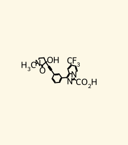 CN1CCC(O)(C#Cc2cccc(-c3nc(C(=O)O)n4ccc(C(F)(F)F)cc34)c2)C1=O